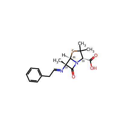 CC1(C)S[C@H]2N(C(=O)[C@]2(C)N=CCc2ccccc2)[C@H]1C(=O)O